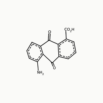 Nc1cccc2c1C(=O)c1cccc(C(=O)O)c1C2=O